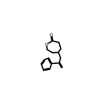 C=C(CC1CCOC(=O)CC1)c1ccccc1